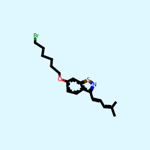 CC(C)=CC=Cc1nsc2cc(OCCCCCCBr)ccc12